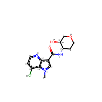 Cn1cc(C(=O)N[C@H]2CCOC[C@@H]2O)c2nccc(Cl)c21